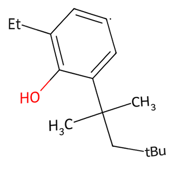 CCc1c[c]cc(C(C)(C)CC(C)(C)C)c1O